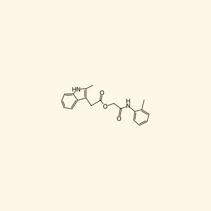 Cc1ccccc1NC(=O)COC(=O)Cc1c(C)[nH]c2ccccc12